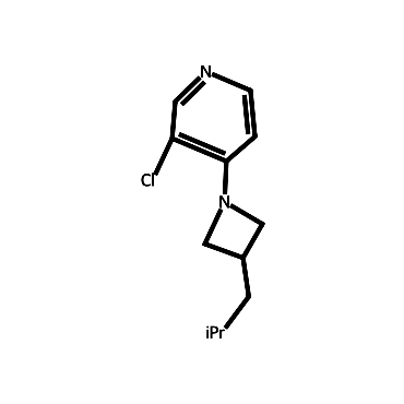 CC(C)CC1CN(c2ccncc2Cl)C1